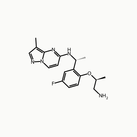 Cc1cnn2ccc(N[C@H](C)c3cc(F)ccc3O[C@@H](C)CN)nc12